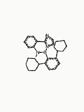 CN1B(c2c(C3CCCCC3)cccc2C2CCCCC2)n2ccnc2-c2ccccc21